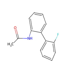 CC(=O)Nc1ccccc1-c1ccccc1F